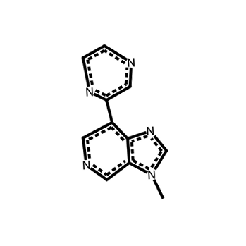 Cn1cnc2c(-c3cnccn3)cncc21